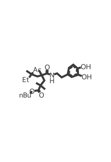 CCCCOC(=O)C(C)(C)CC(C)(CC(C)(CC)C(C)=O)C(=O)NCCc1ccc(O)c(O)c1